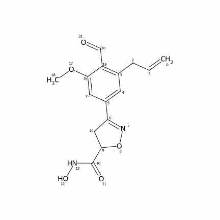 C=CCc1cc(C2=NOC(C(=O)NO)C2)cc(OC)c1C=O